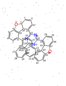 C1=CC2Oc3cccc(-c4ccc5ccccc5c4)c3C2C(c2nc(-c3ccccc3)nc(-c3cccc4oc5ccccc5c34)n2)=C1